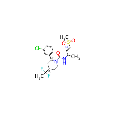 CC(/C=C/S(C)(=O)=O)NC(=O)N1CC[C@@H](C(C)(F)F)C[C@H]1c1cccc(Cl)c1